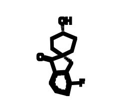 O=C1c2cccc(F)c2C[C@]12CC[C@@H](O)CC2